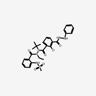 CCN(C(=O)c1ccccc1NS(C)(=O)=O)N(C(=O)c1cccc(C(=O)NNc2ccccc2)c1Cl)C(C)(C)C